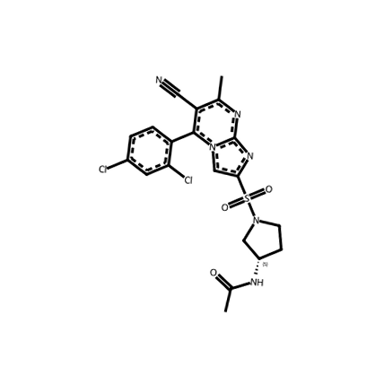 CC(=O)N[C@H]1CCN(S(=O)(=O)c2cn3c(-c4ccc(Cl)cc4Cl)c(C#N)c(C)nc3n2)C1